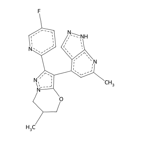 Cc1cc(-c2c(-c3ccc(F)cn3)nn3c2OCC(C)C3)c2cn[nH]c2n1